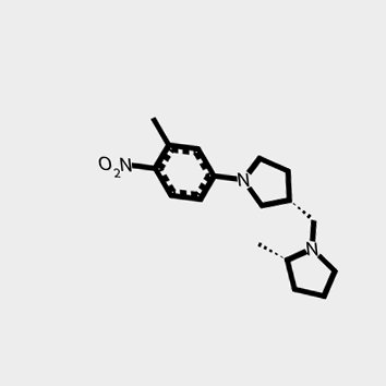 Cc1cc(N2CC[C@H](CN3CCC[C@@H]3C)C2)ccc1[N+](=O)[O-]